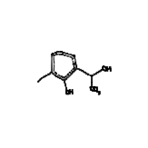 Cc1cccc(C(O)C(Cl)(Cl)Cl)c1O